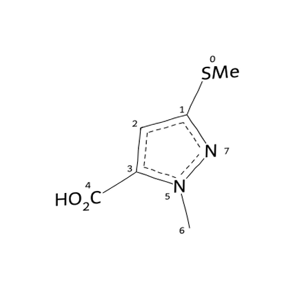 CSc1cc(C(=O)O)n(C)n1